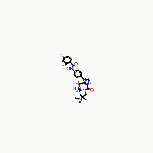 CN(C)C(C)(C)CNC(=O)c1ncn(-c2ccc(NC(=O)c3ccc(F)cc3Cl)cc2)c1C(N)=O